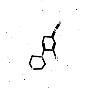 [N-]=[N+]=C1C=C(Cl)C(N2CCOCC2)=CC1